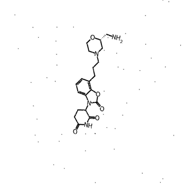 NC[C@@H]1CN(CCCc2cccc3c2oc(=O)n3C2CCC(=O)NC2=O)CCO1